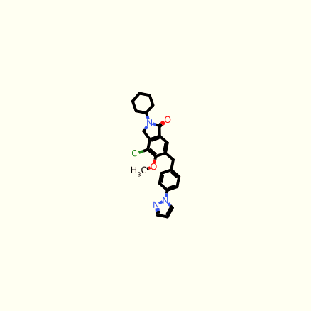 COc1c(Cc2ccc(-n3cccn3)cc2)cc2c(c1Cl)CN(C1CCCCC1)C2=O